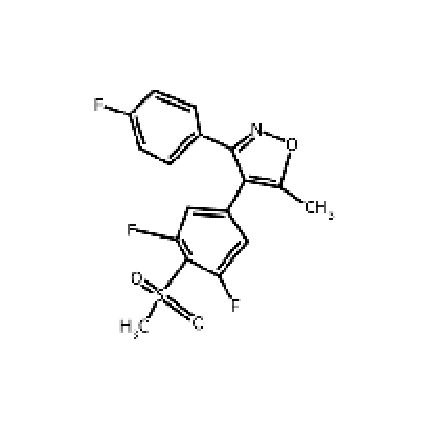 Cc1onc(-c2ccc(F)cc2)c1-c1cc(F)c(S(C)(=O)=O)c(F)c1